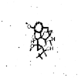 CC[C@]12C[C@]3([C@](C)(O)C(C)(C)C)C[C@]3(OC)[C@@H]3Oc4c(OC)ccc5c4[C@@]31CC1(C5)C[C@H]12